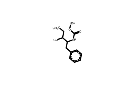 CC(C)(C)OC(=O)NC(Cc1ccccc1)C(O)CC(=O)O